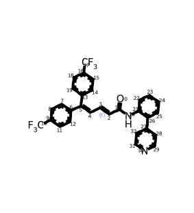 O=C(/C=C/C=C(c1ccc(C(F)(F)F)cc1)c1ccc(C(F)(F)F)cc1)Nc1ccccc1-c1ccncc1